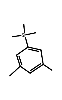 Cc1[c]c(C)cc([Si](C)(C)C)c1